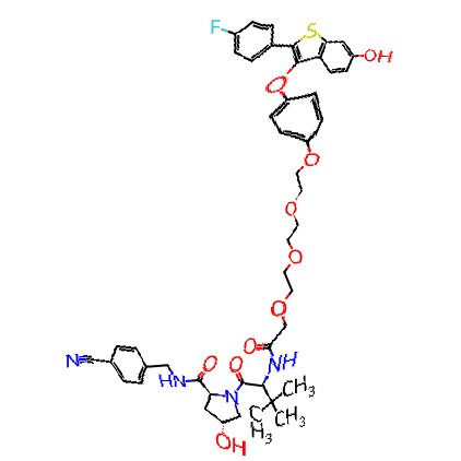 CC(C)(C)[C@H](NC(=O)COCCOCCOCCOc1ccc(Oc2c(-c3ccc(F)cc3)sc3cc(O)ccc23)cc1)C(=O)N1C[C@H](O)C[C@H]1C(=O)NCc1ccc(C#N)cc1